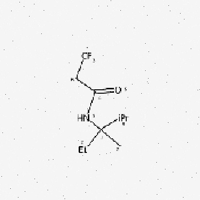 CCC(C)(NC(=O)CC(F)(F)F)C(C)C